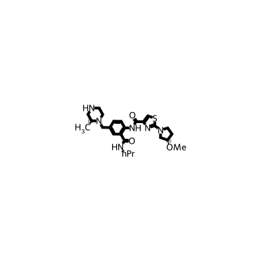 CCCNC(=O)c1cc(CN2CCNC[C@@H]2C)ccc1NC(=O)c1csc(N2CC[C@H](OC)C2)n1